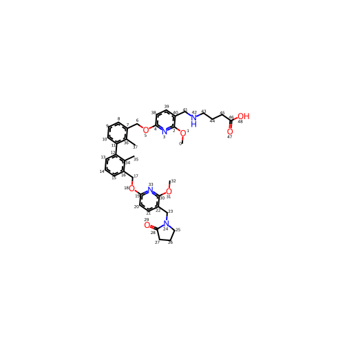 COc1nc(OCc2cccc(-c3cccc(COc4ccc(CN5CCCC5=O)c(OC)n4)c3C)c2C)ccc1CNCCCC(=O)O